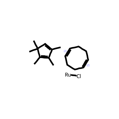 C1=C\CC/C=C\CC/1.CC1=CC(C)(C)C(C)=C1C.[Cl][Ru]